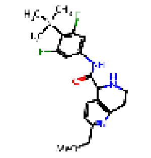 COCc1ccc2c(n1)CCNC2C(=O)Nc1cc(F)c([Si](C)(C)C)c(F)c1